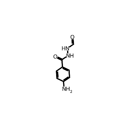 Nc1ccc(C(=O)NNC=O)cc1